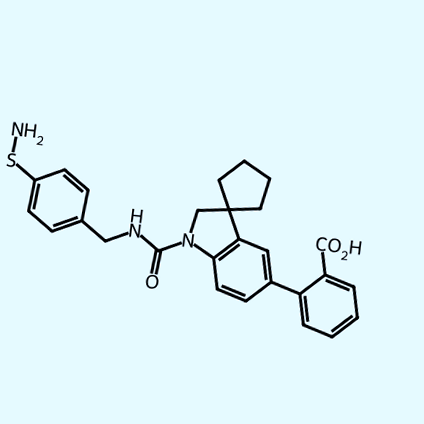 NSc1ccc(CNC(=O)N2CC3(CCCC3)c3cc(-c4ccccc4C(=O)O)ccc32)cc1